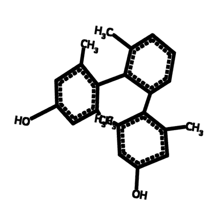 Cc1cc(O)cc(C)c1-c1cccc(C)c1-c1c(C)cc(O)cc1C